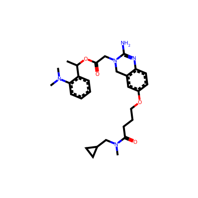 CC(OC(=O)CN1Cc2cc(OCCCC(=O)N(C)CC3CC3)ccc2N=C1N)c1ccccc1N(C)C